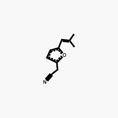 CC(C)=Cc1ccc(CC#N)o1